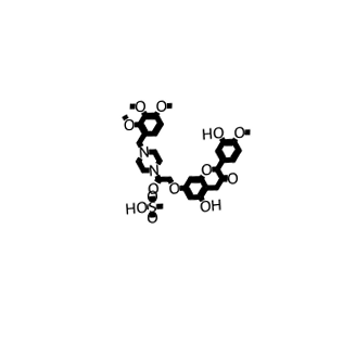 COc1ccc(C2Oc3cc(OCC(=O)N4CCN(Cc5ccc(OC)c(OC)c5OC)CC4)cc(O)c3CC2=O)cc1O.CS(=O)(=O)O